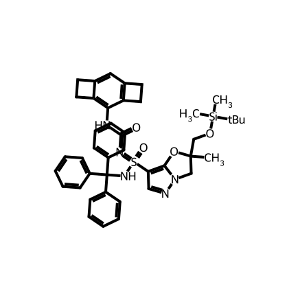 CC1(CO[Si](C)(C)C(C)(C)C)Cn2ncc(S(=O)(=NC(=O)Nc3c4c(cc5c3CC5)CC4)NC(c3ccccc3)(c3ccccc3)c3ccccc3)c2O1